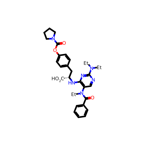 CCN(CC)c1ncc(N(CC)C(=O)c2ccccc2)c(N[C@@H](Cc2ccc(OC(=O)N3CCCC3)cc2)C(=O)O)n1